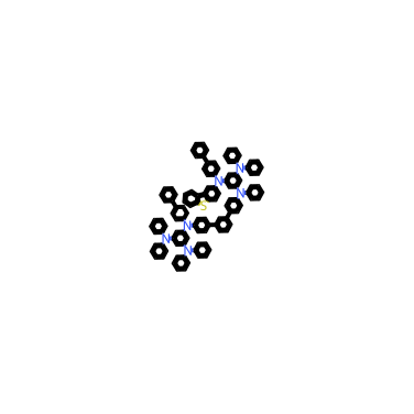 C1=C(c2ccccc2)CCC(N(c2ccc(-c3cccc(-c4ccc(N(c5ccccc5)c5cc(N(c6ccccc6)c6ccccc6)cc(N(c6ccc(-c7ccccc7)cc6)c6ccc7sc8ccccc8c7c6)c5)cc4)c3)cc2)c2cc(N(c3ccccc3)c3ccccc3)cc(N(c3ccccc3)c3ccccc3)c2)=C1